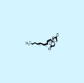 CCC/C=C/C=C\C=C/[B-]12OC(=O)C[C+]1CC(=O)O2